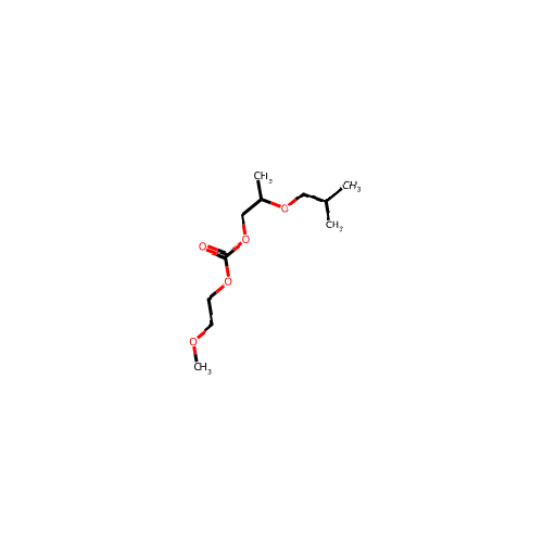 COCCOC(=O)OCC(C)OCC(C)C